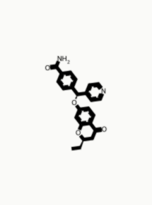 CC[C@@H]1CC(=O)c2ccc(O[C@@H](c3ccncc3)c3ccc(C(N)=O)cc3)cc2O1